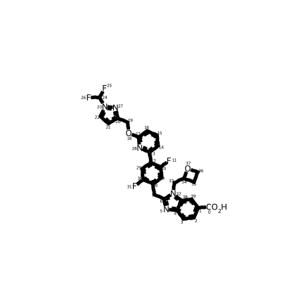 O=C(O)c1ccc2nc(Cc3cc(F)c(-c4cccc(OCc5ccn(C(F)F)n5)n4)cc3F)n(CC3CCO3)c2c1